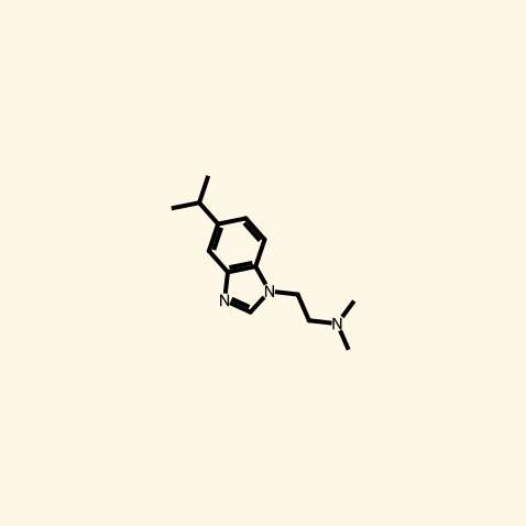 CC(C)c1ccc2c(c1)ncn2CCN(C)C